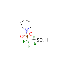 O=S(=O)(O)C(F)(F)C(F)(F)S(=O)(=O)N1CCCCC1